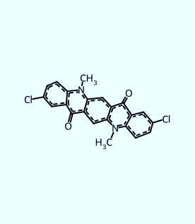 Cn1c2ccc(Cl)cc2c(=O)c2cc3c(cc21)c(=O)c1cc(Cl)ccc1n3C